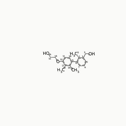 Cc1c(CO)cccc1-c1ccc(OCCO)c(C)c1C